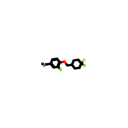 O=[N+]([O-])c1ccc(OCC2CCC(F)(F)CC2)c(F)c1